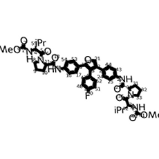 COC(=O)N[C@H](C(=O)N1CCCC1C(=O)Nc1ccc(-c2occ(-c3ccc(NC(=O)[C@@H]4CCCN4C(=O)[C@@H](NC(=O)OC)C(C)C)cc3)c2-c2ccc(F)cc2)cc1)C(C)C